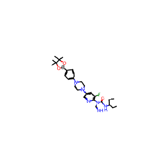 CCC(CC)NC(=O)N(C=N)c1ncc(N2CCN(c3ccc(B4OC(C)(C)C(C)(C)O4)cc3)CC2)cc1F